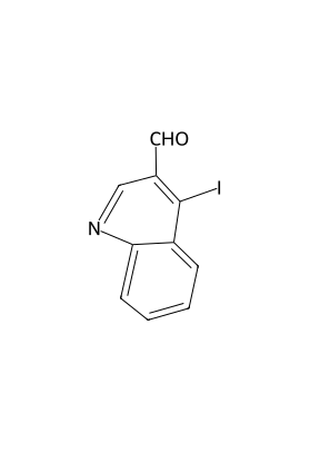 O=Cc1cnc2ccccc2c1I